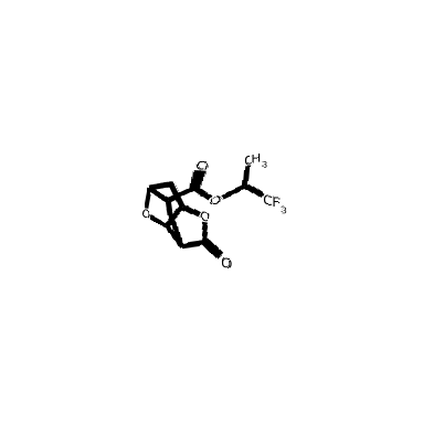 CC(OC(=O)C1C2CC3OC(=O)C1C3O2)C(F)(F)F